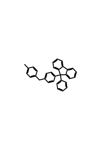 Cc1ccc(Cc2ccc(C3(c4ccccc4)c4ccccc4-c4ccccc43)cc2)cc1